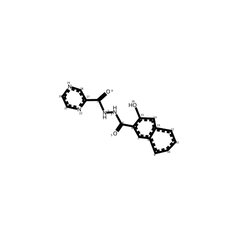 O=C(NNC(=O)c1cc2ccccc2cc1O)c1cnccn1